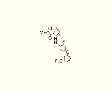 COC(=O)c1c(Cl)ncnc1NCCc1ccc(Oc2cc(C(F)(F)F)ccn2)cc1F